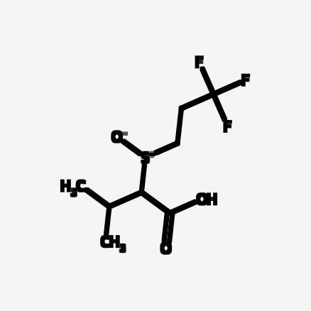 CC(C)C(C(=O)O)[S+]([O-])CCC(F)(F)F